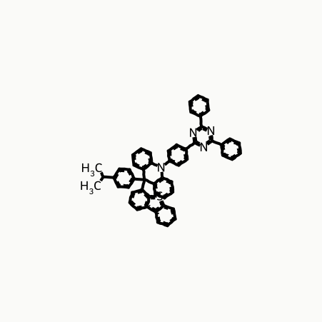 CC(C)c1ccc(C2(c3cccc4c3sc3ccccc34)c3ccccc3N(c3ccc(-c4nc(-c5ccccc5)nc(-c5ccccc5)n4)cc3)c3ccccc32)cc1